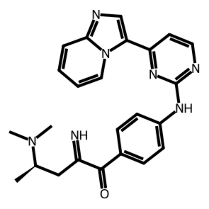 C[C@H](CC(=N)C(=O)c1ccc(Nc2nccc(-c3cnc4ccccn34)n2)cc1)N(C)C